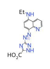 CCNc1ccc(/N=N/c2n[nH]c(C(=O)O)n2)c2ncccc12